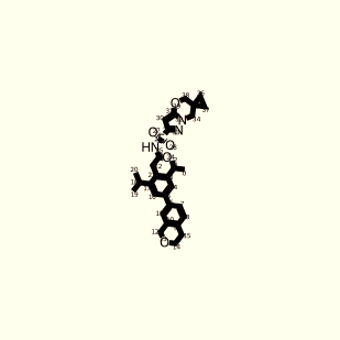 CC(C)c1cc(-c2ccc3c(c2)COCC3)cc(C(C)C)c1CC(=O)NS(=O)(=O)c1cc2n(n1)CC1(CC1)CO2